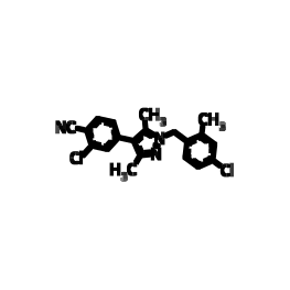 Cc1cc(Cl)ccc1Cn1nc(C)c(-c2ccc(C#N)c(Cl)c2)c1C